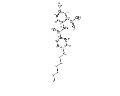 CCCCCCSc1ccc(C(=O)Nc2ccc(Br)cc2C(=O)O)nn1